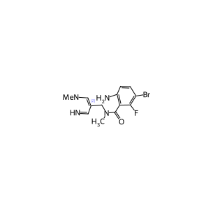 CN/C=C(\C=N)CN(C)C(=O)c1c(N)ccc(Br)c1F